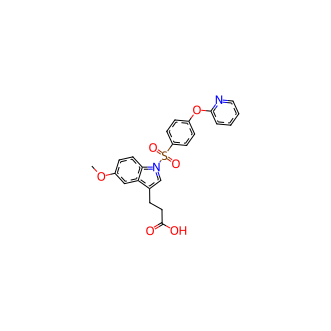 COc1ccc2c(c1)c(CCC(=O)O)cn2S(=O)(=O)c1ccc(Oc2ccccn2)cc1